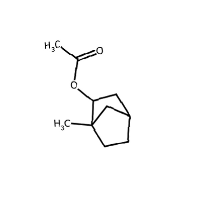 CC(=O)OC1CC2CCC1(C)C2